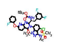 CC(=O)N(c1nn(C)c2c(-n3c([C@H](Cc4cc(F)cc(F)c4)NC(=O)OC(C)(C)C)nc4nc(Oc5ccccc5F)ccc4c3=O)ccc(Cl)c12)S(C)(=O)=O